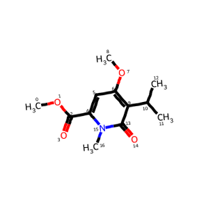 COC(=O)c1cc(OC)c(C(C)C)c(=O)n1C